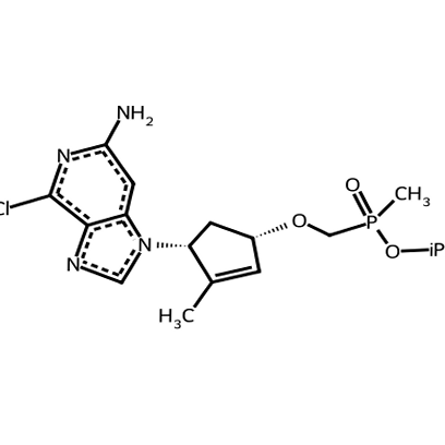 CC1=C[C@@H](OCP(C)(=O)OC(C)C)C[C@H]1n1cnc2c(Cl)nc(N)cc21